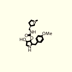 COc1ccc(CC2NCC(O)C2OC(=O)NC[C@H]2CCN(C)C2)cc1